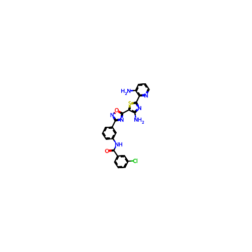 Nc1cccnc1-c1nc(N)c(-c2nc(-c3cccc(NC(=O)c4cccc(Cl)c4)c3)no2)s1